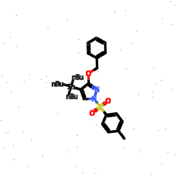 CCC[CH2][Sn]([CH2]CCC)([CH2]CCC)[c]1cn(S(=O)(=O)c2ccc(C)cc2)nc1OCc1ccccc1